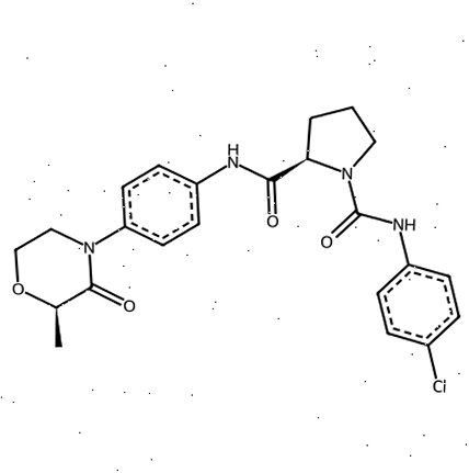 C[C@H]1OCCN(c2ccc(NC(=O)[C@H]3CCCN3C(=O)Nc3ccc(Cl)cc3)cc2)C1=O